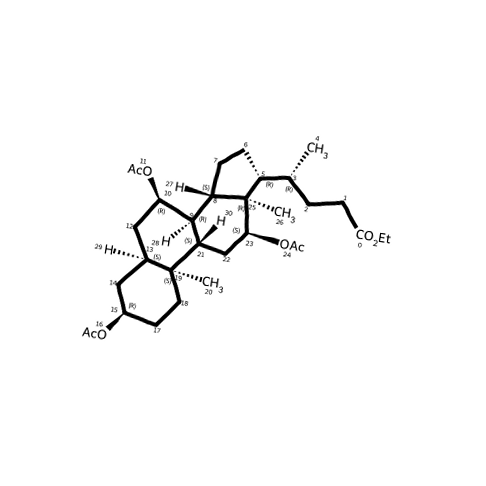 CCOC(=O)CC[C@@H](C)[C@H]1CC[C@H]2[C@@H]3[C@H](OC(C)=O)C[C@@H]4C[C@H](OC(C)=O)CC[C@]4(C)[C@H]3C[C@H](OC(C)=O)[C@]12C